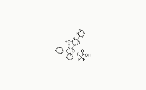 O=C(NC(c1ccccc1)c1ccccn1)c1cnc(-c2cccnn2)nc1O.O=C(O)C(F)(F)F